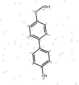 CCCCCCCCOc1cnc(-c2ccc(O)cc2)nc1